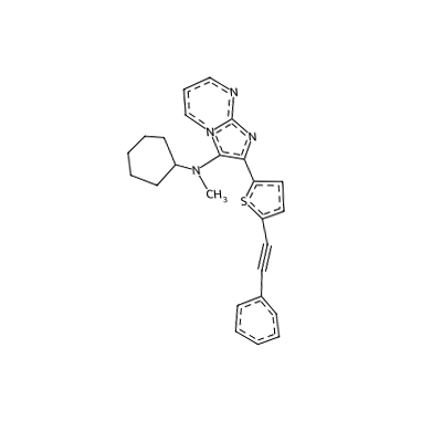 CN(c1c(-c2ccc(C#Cc3ccccc3)s2)nc2ncccn12)C1CCCCC1